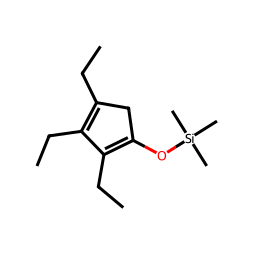 CCC1=C(CC)C(CC)=C(O[Si](C)(C)C)C1